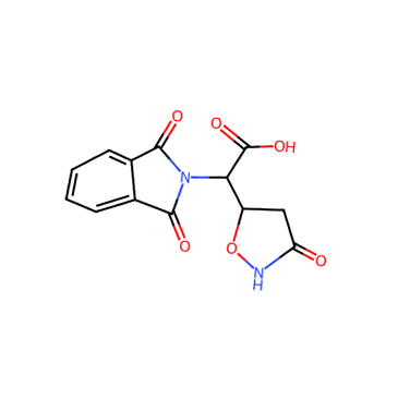 O=C1CC(C(C(=O)O)N2C(=O)c3ccccc3C2=O)ON1